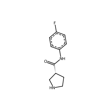 O=C(Nc1ccc(F)cc1)[C@@H]1CCNC1